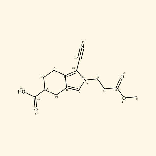 COC(=O)CCn1cc2c(c1C#N)CCC(C(=O)O)C2